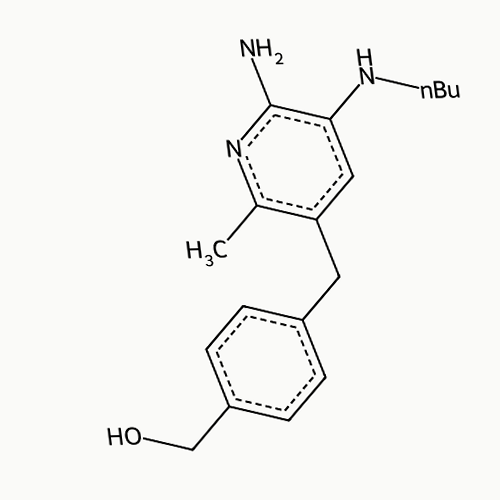 CCCCNc1cc(Cc2ccc(CO)cc2)c(C)nc1N